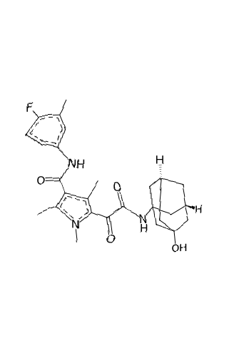 Cc1cc(NC(=O)c2c(C)c(C(=O)C(=O)NC34C[C@@H]5C[C@@H](CC(O)(C5)C3)C4)n(C)c2C)ccc1F